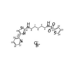 O=S(=O)(NCCCCCNc1nc(-c2ccccn2)cs1)c1cccs1.[Cl-].[H+]